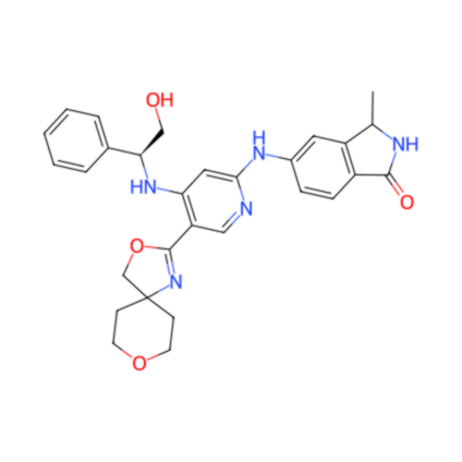 CC1NC(=O)c2ccc(Nc3cc(N[C@H](CO)c4ccccc4)c(C4=NC5(CCOCC5)CO4)cn3)cc21